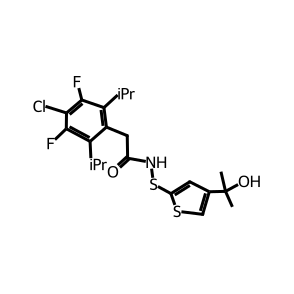 CC(C)c1c(F)c(Cl)c(F)c(C(C)C)c1CC(=O)NSc1cc(C(C)(C)O)cs1